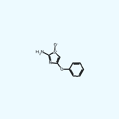 Nc1nc(Oc2ccccc2)c[s+]1[O-]